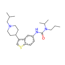 CCCN(C(=O)Nc1ccc2scc(C3CCN(CC(C)C)CC3)c2c1)C(C)C